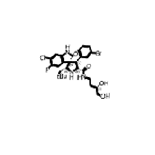 CC(C)(C)C[C@H]1N[C@@H](C(=O)NCC[C@H](O)CO)[C@H](c2cccc(Br)c2)[C@@]12C(=O)Nc1cc(Cl)c(F)cc12